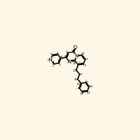 O=c1cc(-c2ccncc2)nc2c(CCCc3ccccc3)cccn12